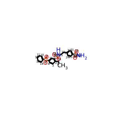 CCc1ccc(S(=O)(=O)c2ccccc2)cc1S(=O)(=O)NCCc1ccc(S(N)(=O)=O)cc1